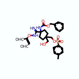 Cc1ccc(S(=O)(=O)OCC2(CO)CCC(NC(=O)OCc3ccccc3)(C(=N)NOC(C=O)=CC=O)CC2)cc1